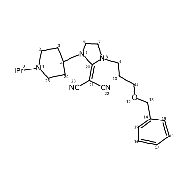 CC(C)N1CCC(N2CCN(CCCOCc3ccccc3)C2=C(C#N)C#N)CC1